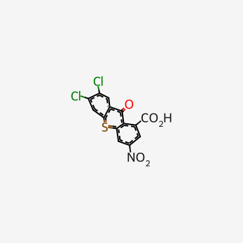 O=C(O)c1cc([N+](=O)[O-])cc2sc3cc(Cl)c(Cl)cc3c(=O)c12